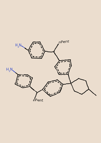 CCCCCC(c1ccc(N)cc1)c1ccc(C2(c3ccc(C(CCCCC)c4ccc(N)cc4)cc3)CCC(C)CC2)cc1